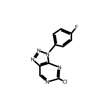 Fc1ccc(-n2nnc3cnc(Cl)nc32)cc1